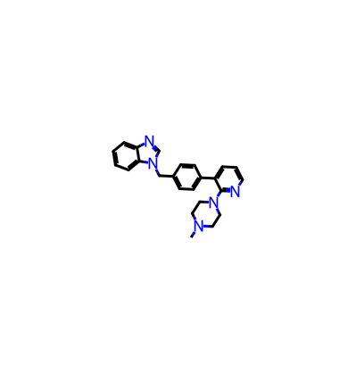 CN1CCN(c2ncccc2-c2ccc(Cn3cnc4ccccc43)cc2)CC1